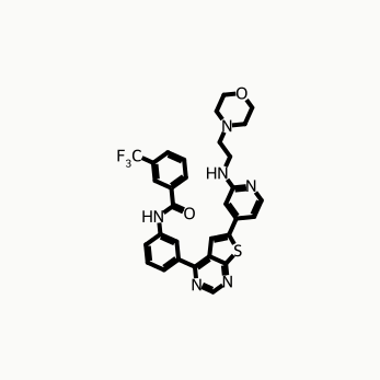 O=C(Nc1cccc(-c2ncnc3sc(-c4ccnc(NCCN5CCOCC5)c4)cc23)c1)c1cccc(C(F)(F)F)c1